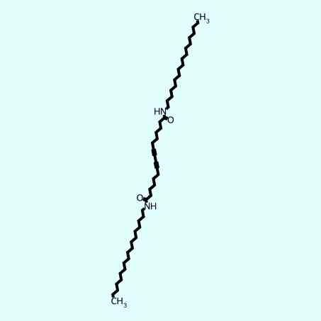 CCCCCCCCCCCCCCCCCCNC(=O)CCCCCC#CC#CCCCCCC(=O)NCCCCCCCCCCCCCCCCCC